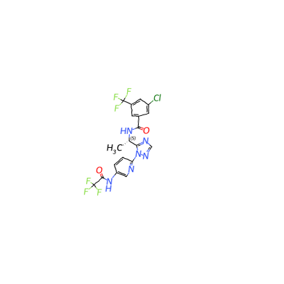 C[C@H](NC(=O)c1cc(Cl)cc(C(F)(F)F)c1)c1ncnn1-c1ccc(NC(=O)C(F)(F)F)cn1